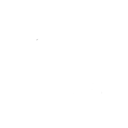 O=C(O)CCc1ccccc1OCCOCCc1cccc([C@@H](O)Cc2ccccc2)c1